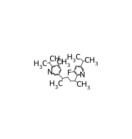 Cc1cc(C(C)CCC(C)c2ncc(C(C)C)cc2F)cnc1C(C)C